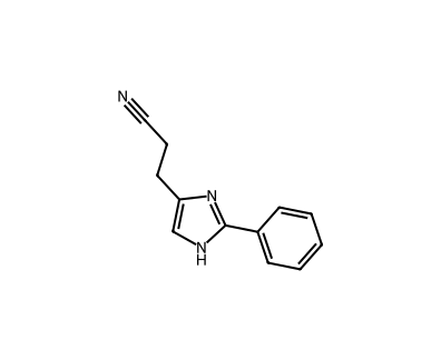 N#CCCc1c[nH]c(-c2ccccc2)n1